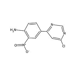 Nc1ccc(-c2cc(Cl)ncn2)cc1[N+](=O)[O-]